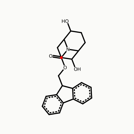 O=C(OCC1c2ccccc2-c2ccccc21)N1C2CCC(O)C1CCC2O